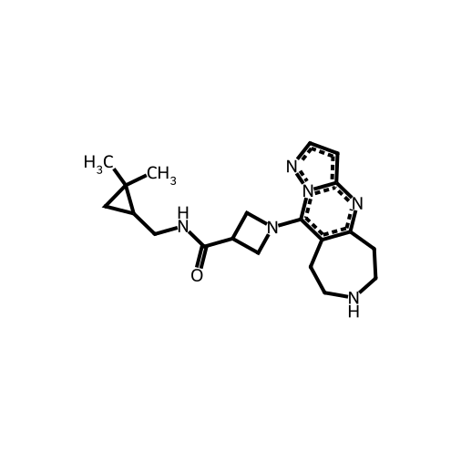 CC1(C)CC1CNC(=O)C1CN(c2c3c(nc4ccnn24)CCNCC3)C1